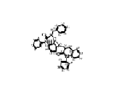 O=C(Nc1ccccc1)C(Cc1ccccc1)Oc1ccccc1OC(Cc1ccccc1)C(=O)Nc1ccccc1